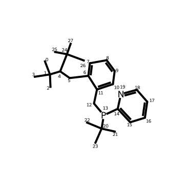 CC(C)(C)C(Cc1ccccc1CP(c1ccccn1)C(C)(C)C)C(C)(C)C